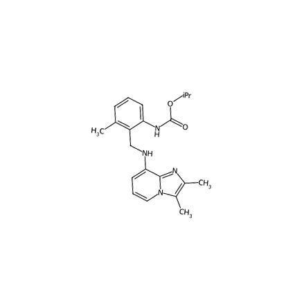 Cc1cccc(NC(=O)OC(C)C)c1CNc1cccn2c(C)c(C)nc12